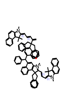 C=C(/C=C/C=C1/N(C)c2ccc3ccccc3c2C1(C)C)C(Cc1ccccc1)(Cc1ccccc1)c1c(C)cc(C(c2ccccc2)c2cc3c(c4ccccc24)C(Cc2ccccc2)(Cc2ccccc2)C(/C=C/C=C2/N(C)c4ccc5ccccc5c4C2(C)C)=[N+]3C)c2ccccc12